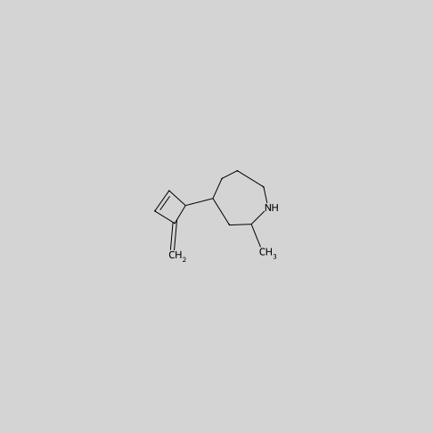 C=C1C=CC1C1CCCNC(C)C1